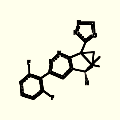 CC1(C)[C@H]2CCC1(c1nnco1)c1nnc(-c3c(F)cccc3F)cc12